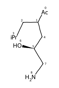 CC(=O)C(CC(C)C)C[C@H](O)CN